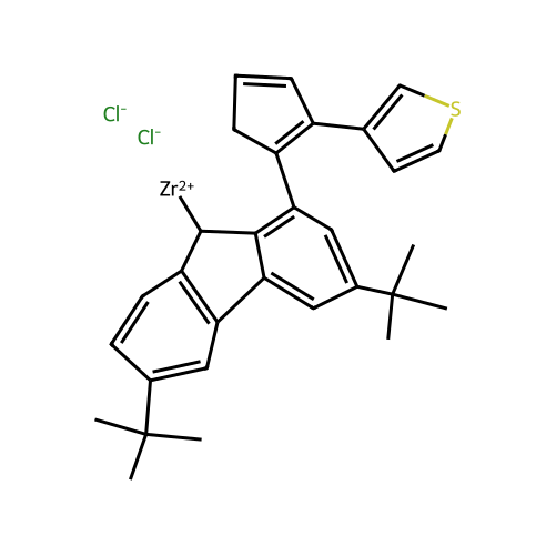 CC(C)(C)c1ccc2c(c1)-c1cc(C(C)(C)C)cc(C3=C(c4ccsc4)C=CC3)c1[CH]2[Zr+2].[Cl-].[Cl-]